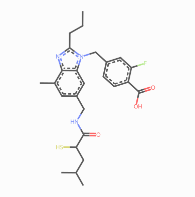 CCCc1nc2c(C)cc(CNC(=O)C(S)CC(C)C)cc2n1Cc1ccc(C(=O)O)c(F)c1